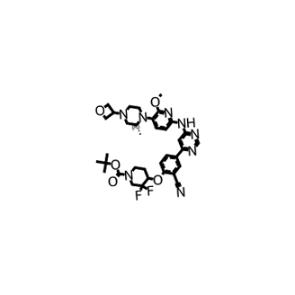 COc1nc(Nc2cc(-c3ccc(OC4CCN(C(=O)OC(C)(C)C)CC4(F)F)c(C#N)c3)ncn2)ccc1N1CCN(C2COC2)C[C@H]1C